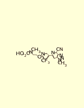 CN(CCOc1ncc(-c2cc3c(nnn3C)c(C#N)n2)cc1C(F)(F)F)C(=O)O